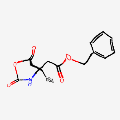 CCCCC1(CC(=O)OCc2ccccc2)NC(=O)OC1=O